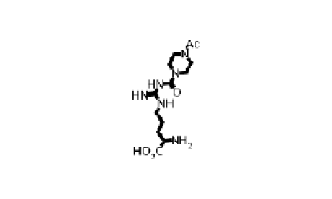 CC(=O)N1CCN(C(=O)NC(=N)NCCCC(N)C(=O)O)CC1